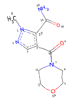 Cn1ncc(C(=O)N2CCOCC2)c1C(N)=O